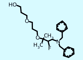 CC(C)(OCCCOCCCO)C(F)CN(Cc1ccccc1)Cc1ccccc1